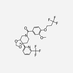 COc1cc(C(=O)N2CC[C@]3(c4cccc(C(F)(F)F)n4)OCOC3C2)ccc1OCCC(F)(F)F